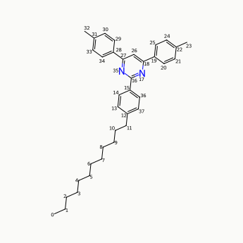 CCCCCCCCCCCCc1ccc(-c2nc(-c3ccc(C)cc3)cc(-c3ccc(C)cc3)n2)cc1